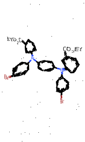 CCOC(=O)c1cccc(N(c2ccc(Br)cc2)c2ccc(N(c3ccc(Br)cc3)c3cccc(C(=O)OCC)c3)cc2)c1